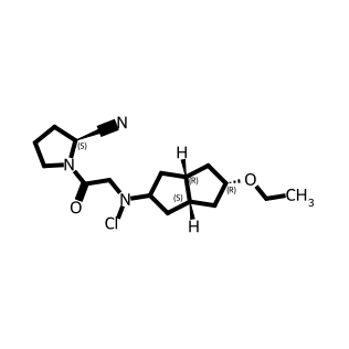 CCO[C@H]1C[C@H]2CC(N(Cl)CC(=O)N3CCC[C@H]3C#N)C[C@H]2C1